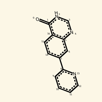 O=c1[nH]cnc2cc(-c3ccccn3)ccc12